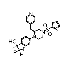 C[C@](O)(c1ccc(N2CCN(S(=O)(=O)c3cccs3)C[C@@H]2Cc2ccncc2)cc1)C(F)(F)F